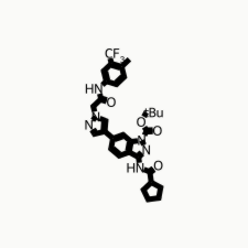 Cc1ccc(NC(=O)Cn2cc(-c3ccc4c(NC(=O)C5CCCC5)nn(C(=O)OC(C)(C)C)c4c3)cn2)cc1C(F)(F)F